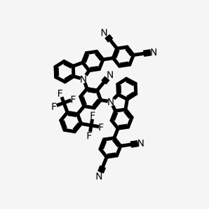 N#Cc1ccc(-c2ccc3c4ccccc4n(-c4cc(-c5c(C(F)(F)F)cccc5C(F)(F)F)cc(-n5c6ccccc6c6ccc(-c7ccc(C#N)cc7C#N)cc65)c4C#N)c3c2)c(C#N)c1